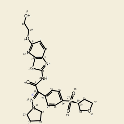 O=C(Nc1nc2ccc(OCCO)nc2s1)/C(=N/N1CCCC1)c1ccc(S(=O)(=O)[C@H]2CCOC2)cc1